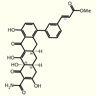 COC(=O)/C=C/c1cccc(-c2ccc(O)c3c2C[C@H]2C[C@H]4CC(O)=C(C(N)=O)C(=O)[C@@]4(O)C(O)=C2C3=O)c1